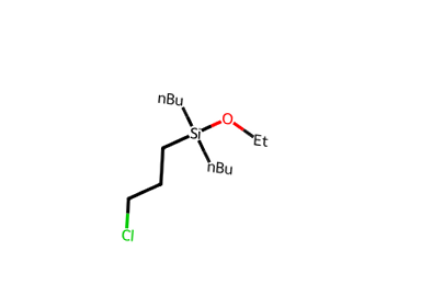 CCCC[Si](CCCC)(CCCCl)OCC